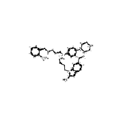 COCCCn1c(C)cc2ccc(CO[C@H]3CNCC[C@@H]3c3ccc(OCCCOCc4ccccc4OC)cc3)cc21